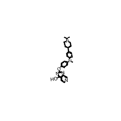 CC(C)N1CCC(c2ccc(N(C)c3ccc(Oc4nc(O)c5ccncc5n4)cc3)cc2)CC1